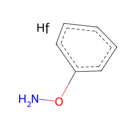 NOc1ccccc1.[Hf]